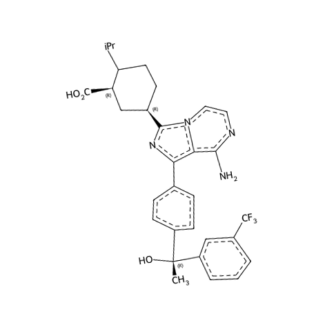 CC(C)C1CC[C@@H](c2nc(-c3ccc([C@@](C)(O)c4cccc(C(F)(F)F)c4)cc3)c3c(N)nccn23)C[C@H]1C(=O)O